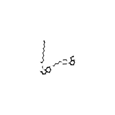 C=CCCCCCCCCC(=O)OCn1c(=O)ccc2ccc(OCCCCN3CCN(c4cccc5sccc45)CC3)cc21